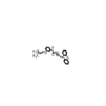 CN(C)CCOc1cccc(NC(=O)NN=CCN2c3ccccc3Sc3ccccc32)c1